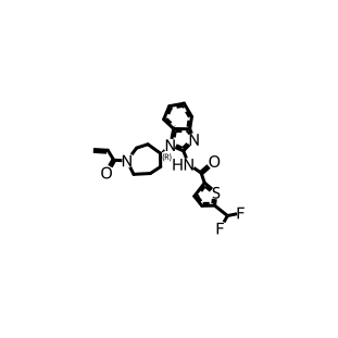 C=CC(=O)N1CCC[C@@H](n2c(NC(=O)c3ccc(C(F)F)s3)nc3ccccc32)CC1